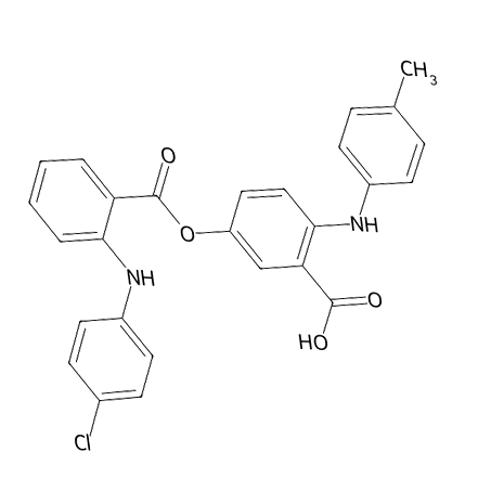 Cc1ccc(Nc2ccc(OC(=O)c3ccccc3Nc3ccc(Cl)cc3)cc2C(=O)O)cc1